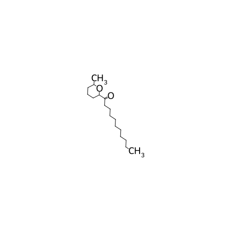 CCCCCCCCCCC(=O)C1CCCC(C)O1